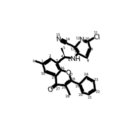 Cc1cc([C@@H](C)Nc2ccc(Cl)nc2C#N)c2oc(-c3ccccc3)c(C)c(=O)c2c1